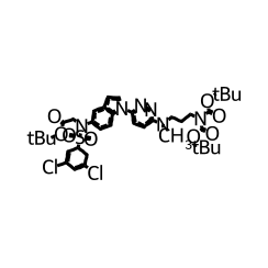 CN(CCCN(C(=O)OC(C)(C)C)C(=O)OC(C)(C)C)c1ccc(-n2ccc3cc(N(CC(=O)OC(C)(C)C)S(=O)(=O)C4C=C(Cl)C=C(Cl)C4)ccc32)nn1